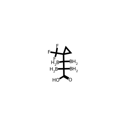 BC(B)(C(=O)O)C(B)(B)C1(C(F)(F)F)CC1